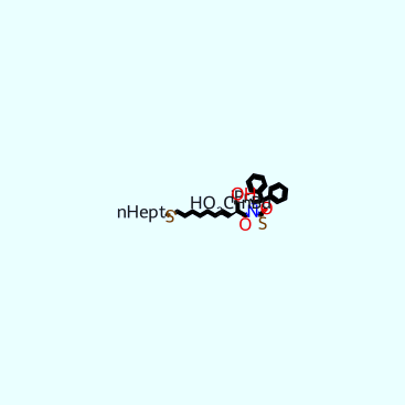 CCCCCCCSCCCCCCC=C[C@H](C(=O)N1C(=S)OC(c2ccccc2)(c2ccccc2)[C@@H]1C(C)C)[C@@](O)(CCCC)C(=O)O